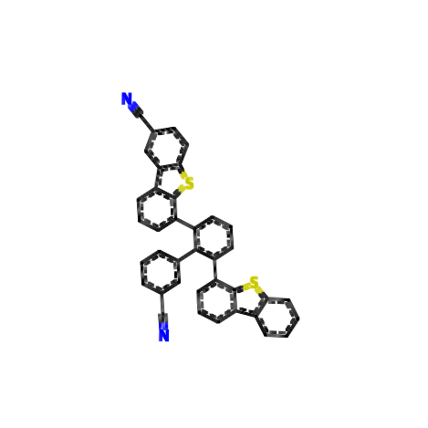 N#Cc1cccc(-c2c(-c3cccc4c3sc3ccccc34)cccc2-c2cccc3c2sc2ccc(C#N)cc23)c1